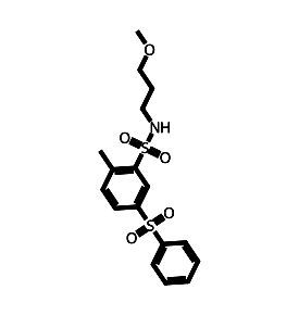 COCCCNS(=O)(=O)c1cc(S(=O)(=O)c2ccccc2)ccc1C